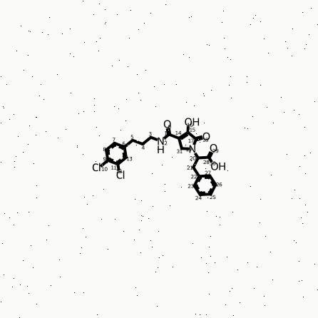 O=C(NCCCc1ccc(Cl)c(Cl)c1)C1=C(O)C(=O)N(C(Cc2ccccc2)C(=O)O)C1